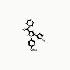 COc1ccc(-n2nc(C(=O)N3CCOCC3)cc2-c2ccn(C)c2)cn1